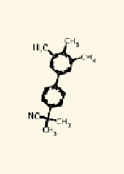 Cc1cc(-c2ccc(C(C)(C)C#N)cc2)cc(C)c1C